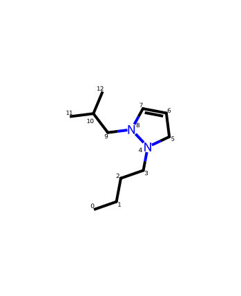 CCCCN1CC=CN1CC(C)C